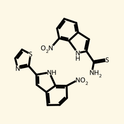 NC(=S)c1cc2cccc([N+](=O)[O-])c2[nH]1.O=[N+]([O-])c1cccc2cc(-c3nccs3)[nH]c12